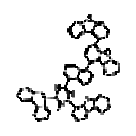 CN1C(c2cc3ccccc3c3ccccc23)=NC(c2cccc3c(-c4ccc(-c5cccc6sc7ccccc7c56)c5oc6ccccc6c45)cccc23)=NC1c1cccc2c1sc1ccccc12